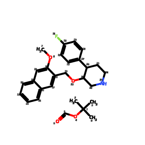 CC(C)(C)OC=O.COc1cc2ccccc2cc1COC1CNCCC1c1ccc(F)cc1